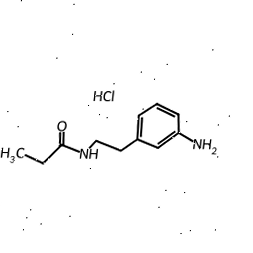 CCC(=O)NCCc1cccc(N)c1.Cl